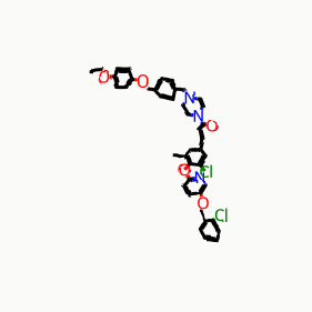 CCOc1ccc(OCc2ccc(CN3CCN(C(=O)C=Cc4cc(C)c(Oc5ccc(OCc6ccccc6Cl)cn5)c(Cl)c4)CC3)cc2)cc1